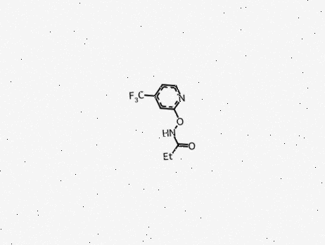 CCC(=O)NOc1cc(C(F)(F)F)ccn1